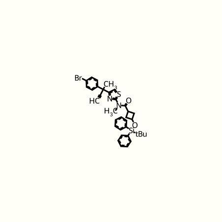 C#CC(C)(c1ccc(Br)cc1)c1csc(N(C)C(=O)C2CC(O[Si](c3ccccc3)(c3ccccc3)C(C)(C)C)C2)n1